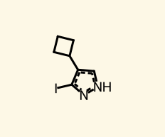 Ic1n[nH]cc1C1CCC1